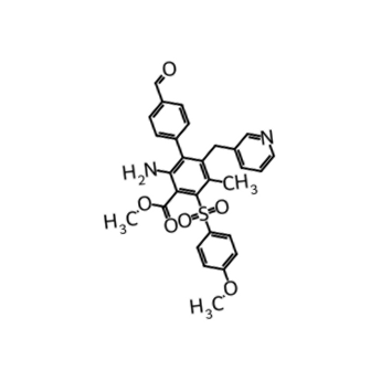 COC(=O)c1c(N)c(-c2ccc(C=O)cc2)c(Cc2cccnc2)c(C)c1S(=O)(=O)c1ccc(OC)cc1